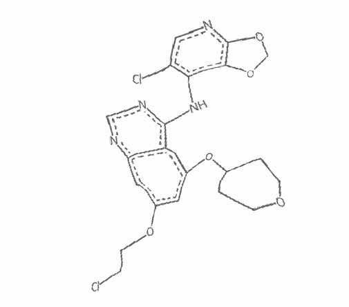 ClCCOc1cc(OC2CCOCC2)c2c(Nc3c(Cl)cnc4c3OCO4)ncnc2c1